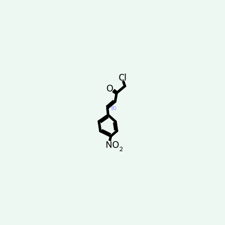 O=C(/C=C/c1ccc([N+](=O)[O-])cc1)CCl